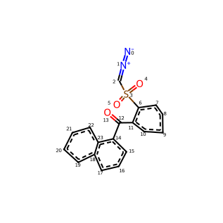 [N-]=[N+]=CS(=O)(=O)c1ccccc1C(=O)c1cccc2ccccc12